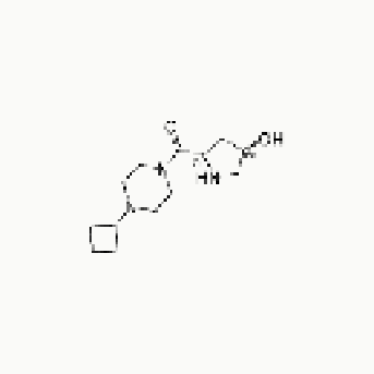 O=C([C@@H]1C[C@@H](O)CN1)N1CCN(C2CCC2)CC1